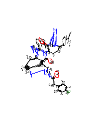 C=C1CCC(n2c(C)nc3cccc(CNC(=O)Cc4ccc(F)cc4)c3c2=O)C(=O)N1